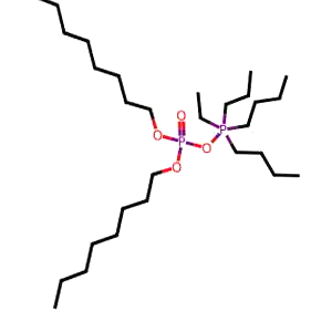 CCCCCCCCOP(=O)(OCCCCCCCC)OP(CC)(CCC)(CCCC)CCCC